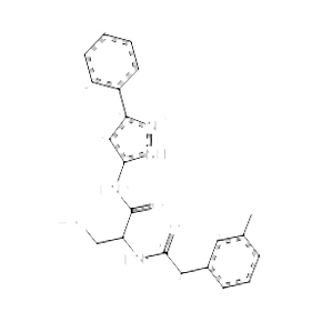 CCC(NC(=O)Cc1cccc(I)c1)C(=O)Nc1cc(-c2ccccc2)n[nH]1